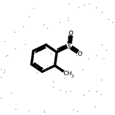 CC1C=CC=[C]C1=S(=O)=O